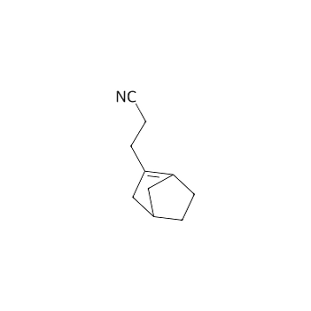 N#CCCC1=C2CCC(C1)C2